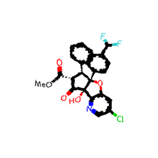 COC(=O)[C@H]1C(=O)[C@@]2(O)c3ncc(Cl)cc3O[C@@]2(c2ccc(C(F)F)cc2)[C@@H]1c1ccccc1